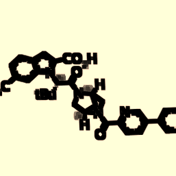 Cc1ccc2cc(C(=O)O)n([C@H](C(=O)N3C[C@@H]4C[C@H]3CN4C(=O)c3ccc(-c4ccccc4)cn3)C(C)(C)C)c2c1